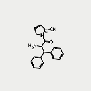 N#C[C@@H]1C=CCN1C(=O)C(N)C(c1ccccc1)c1ccccc1